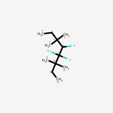 CCC(C)(C)C(F)C(F)(F)C(C)(C)CC